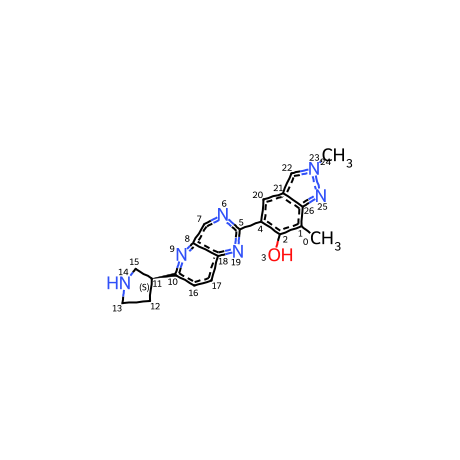 Cc1c(O)c(-c2ncc3nc([C@H]4CCNC4)ccc3n2)cc2cn(C)nc12